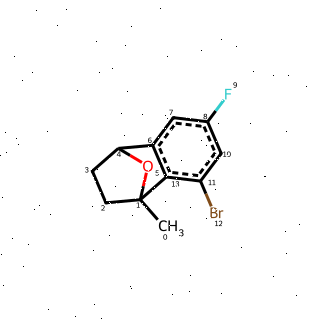 CC12CCC(O1)c1cc(F)cc(Br)c12